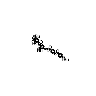 CC(C)(C)Oc1ccc(C(=O)Oc2ccc(C(=O)OCCc3ccc(OC(=O)c4ccc(OC(C)(C)C)c(OC(C)(C)C)c4)c(C=N)c3)cc2)cc1